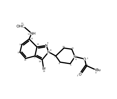 CC(C)(C)C(=O)ON1CCC(n2nc3c(NC=O)cccc3c2Br)CC1